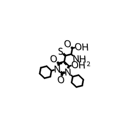 NC(C(=O)O)C(=S)c1c(O)n(C2CCCCC2)c(=O)n(C2CCCCC2)c1=O